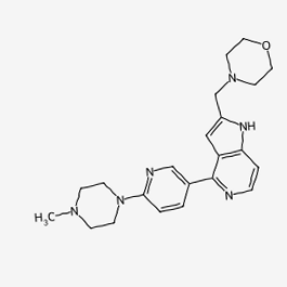 CN1CCN(c2ccc(-c3nccc4[nH]c(CN5CCOCC5)cc34)cn2)CC1